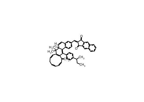 C=C1/C=C\C=C/C/C=C\C2=C1C(c1ccc(C(C)CC)cc1)=C1c3ccc(C=C4C(=O)c5cc6ccccc6cc5C4=O)cc3C=CC1(C)C2(C)C